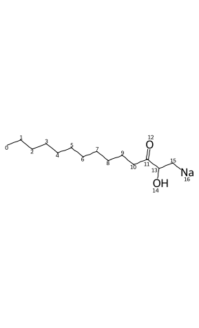 CCCCCCCCCCCC(=O)C(O)[CH2][Na]